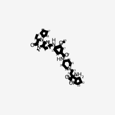 CC[C@@H]1C(=O)N(C)c2cnc(Nc3ccc(C(=O)NC4CCN(CC[C@](N)(C(=O)O)C5CCCC5)CC4)cc3OC)nc2N1C1CCCC1